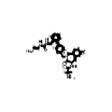 CC(C)(N)C(=O)N[C@@H]1Cc2cc(F)ccc2CN(Cc2ccc(-c3ccccc3CNC(=O)NCCO)cc2)C1=O